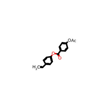 C=Cc1ccc(OC(=O)c2ccc(OC(C)=O)cc2)cc1